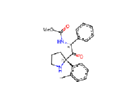 [CH2]c1ccccc1[C@]1(C(=O)[C@H](NC(=O)OC)c2ccccc2)CCCN1